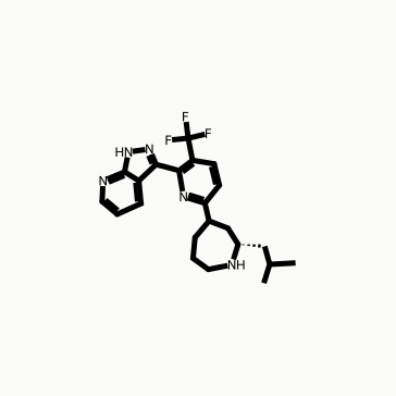 CC(C)C[C@H]1CC(c2ccc(C(F)(F)F)c(-c3n[nH]c4ncccc34)n2)CCCN1